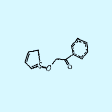 O=C(COS1=CC=CC1)c1ccccc1